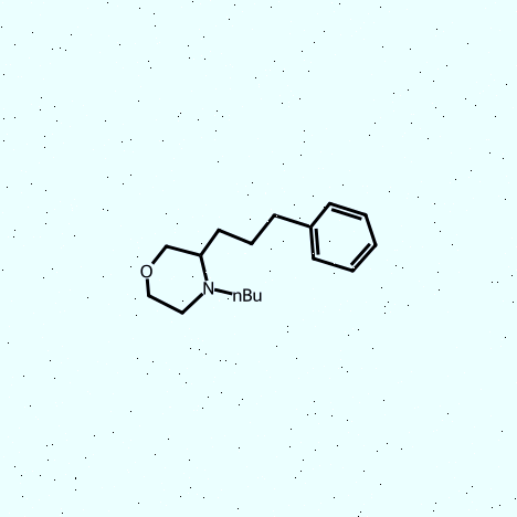 [CH2]CCCN1CCOCC1CCCc1ccccc1